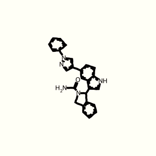 NC(=O)N1Cc2ccccc2C1c1c[nH]c2ccc(-c3cnn(-c4ccccc4)c3)cc12